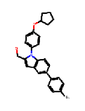 CC(C)(C)c1ccc(-c2ccc3c(c2)cc(CO)n3-c2ccc(OC3CCCC3)cc2)cc1